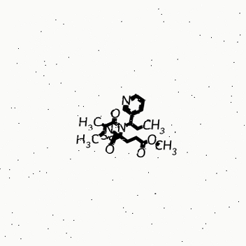 CCC(c1cccnc1)N1C(=O)C2(C)SSC1(CCC(=O)OC)C(=O)N2C